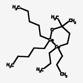 CCCC[CH2][Ge]1([CH2]CCCC)[O]C(C)(C)C[CH2][Ge]1([CH2]CC)[CH2]CC